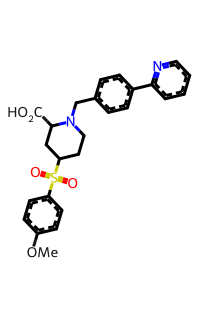 COc1ccc(S(=O)(=O)C2CCN(Cc3ccc(-c4ccccn4)cc3)C(C(=O)O)C2)cc1